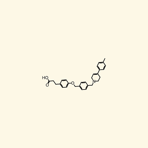 Cc1ccc(C2=CCN(Cc3ccc(COc4ccc(CCC(=O)O)cc4)cc3)CC2)cc1